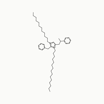 CCCCCCCCCCCCCCC[n+]1c(CC(C)c2ccccc2)cn(CCCCCCCCCCCC)c1Cc1ccccc1